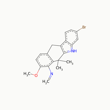 C=Nc1c(OC)ccc2c1C(C)(C)c1[nH]c3cc(Br)ccc3c1C2